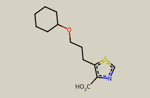 O=C(O)c1ncsc1CCCOC1CCCCC1